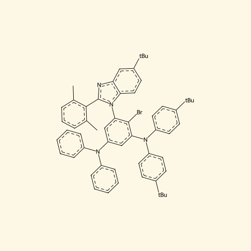 Cc1cccc(C)c1-c1nc2cc(C(C)(C)C)ccc2n1-c1cc(N(c2ccccc2)c2ccccc2)cc(N(c2ccc(C(C)(C)C)cc2)c2ccc(C(C)(C)C)cc2)c1Br